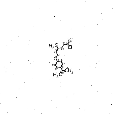 CC(=CCOc1ccc(C(C)C)cc1)CC=C(Cl)Cl